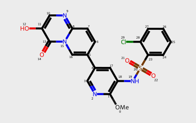 COc1ncc(-c2ccc3ncc(O)c(=O)n3c2)cc1NS(=O)(=O)c1ccccc1Cl